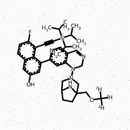 [2H]C([2H])([2H])OCC12CCC(CN(N3CN=Cc4cnc(-c5cc(O)cc6ccc(F)c(C#C[Si](C(C)C)(C(C)C)C(C)C)c56)cc43)C1)N2